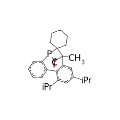 CC(C)c1cc(C(C)C)c2c(c1)C1(C)C3(CCCCC3)P(c3ccccc3-2)C12CCCCC2